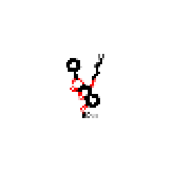 CCC=CCCOc1c(OC(=O)c2ccccc2)c(=O)oc2c(OCCCCCCCCCC)cccc12